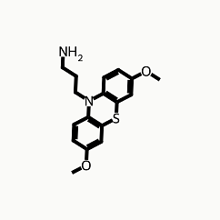 COc1ccc2c(c1)Sc1cc(OC)ccc1N2CCCN